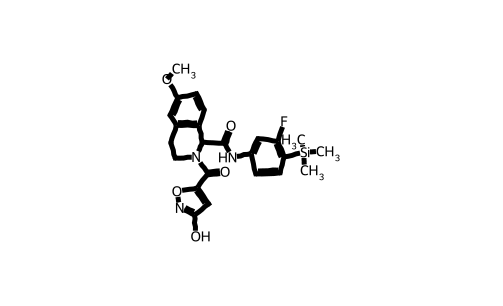 COc1ccc2c(c1)CCN(C(=O)c1cc(O)no1)C2C(=O)Nc1ccc([Si](C)(C)C)c(F)c1